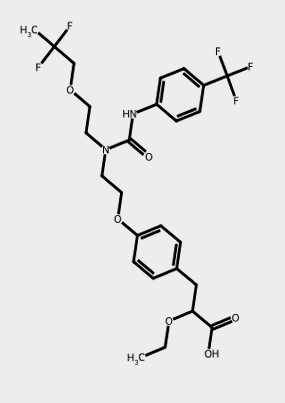 CCOC(Cc1ccc(OCCN(CCOCC(C)(F)F)C(=O)Nc2ccc(C(F)(F)F)cc2)cc1)C(=O)O